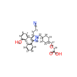 N#CCCc1c(-c2cccc(O)c2)c(-c2ccccc2)nn1CC1CCC(COCC(=O)O)CC1